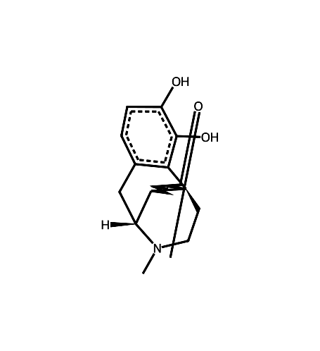 CN1CC[C@]23CC(=O)CC=C2[C@H]1Cc1ccc(O)c(O)c13